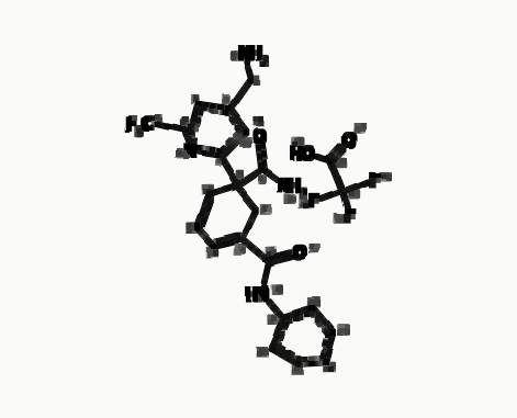 NCc1cc(C(F)(F)F)nc(C2(C(N)=O)C=CC=C(C(=O)Nc3ccccc3)C2)c1.O=C(O)C(F)(F)F